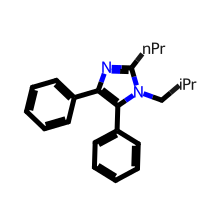 CCCc1nc(-c2ccccc2)c(-c2ccccc2)n1CC(C)C